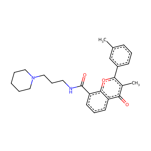 Cc1cccc(-c2oc3c(C(=O)NCCCN4CCCCC4)cccc3c(=O)c2C)c1